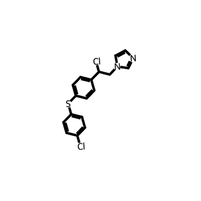 Clc1ccc(Sc2ccc(C(Cl)Cn3ccnc3)cc2)cc1